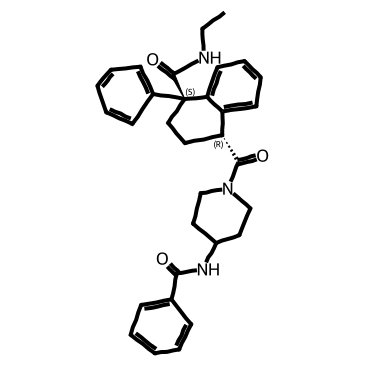 CCNC(=O)[C@]1(c2ccccc2)CC[C@@H](C(=O)N2CCC(NC(=O)c3ccccc3)CC2)c2ccccc21